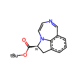 CC(C)(C)OC(=O)[C@@H]1Cc2cccc3c2N1C=CN=C3